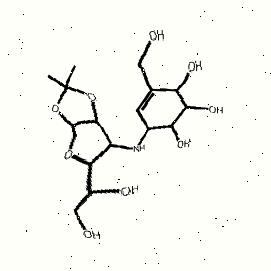 CC1(C)OC2OC(C(O)CO)C(NC3C=C(CO)C(O)C(O)C3O)C2O1